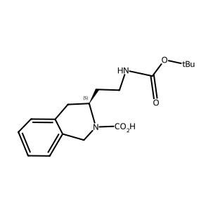 CC(C)(C)OC(=O)NCC[C@@H]1Cc2ccccc2CN1C(=O)O